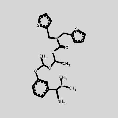 CC(OC(=O)N(Cc1cccs1)Cc1cccs1)OC(C)Oc1cccc(C(N)N(C)C)c1